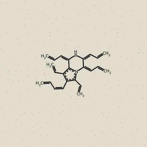 C=C/C=C\c1c(C=C)c2n(c1C=C)C(=C/C=C)/C(=C\C=C)B/C2=C/C=C